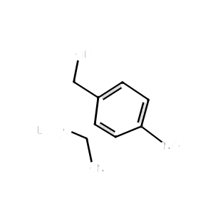 CCOC(=O)CC#N.O=[N+]([O-])c1ccc(CO)cc1